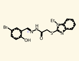 CCn1c(SCC(=O)N/N=C/c2cc(Br)ccc2O)nc2ccccc21